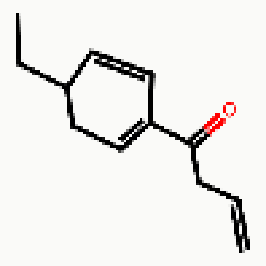 C=CCC(=O)C1=CCC(CC)C=C1